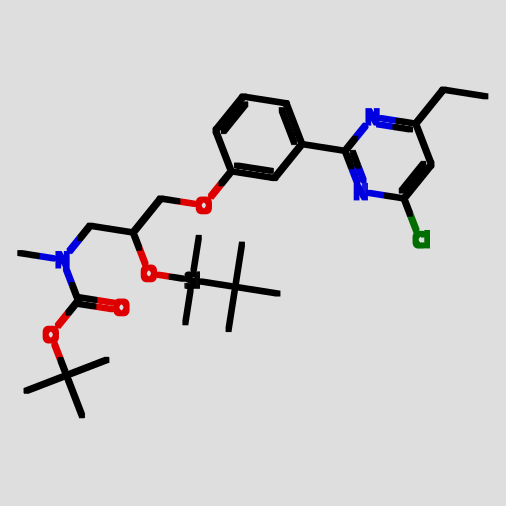 CCc1cc(Cl)nc(-c2cccc(OCC(CN(C)C(=O)OC(C)(C)C)O[Si](C)(C)C(C)(C)C)c2)n1